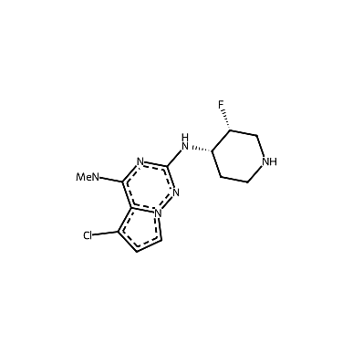 CNc1nc(N[C@H]2CCNC[C@H]2F)nn2ccc(Cl)c12